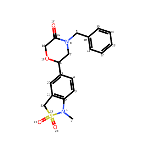 CN1c2ccc(C3CN(Cc4ccccc4)C(=O)CO3)cc2CS1(=O)=O